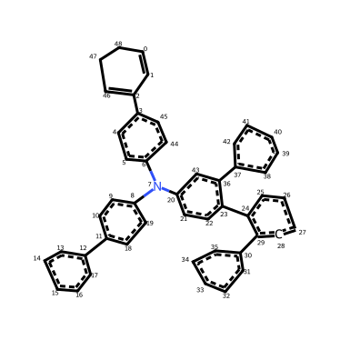 C1=CC(c2ccc(N(c3ccc(-c4ccccc4)cc3)c3ccc(-c4ccccc4-c4ccccc4)c(-c4ccccc4)c3)cc2)=CCC1